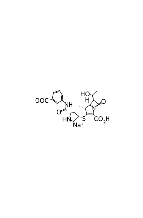 CC(O)[C@H]1C(=O)N2C(C(=O)O)=C(S[C@@H]3CN[C@H](C(=O)Nc4cccc(C(=O)[O-])c4)C3)[C@H](C)[C@@H]12.[Na+]